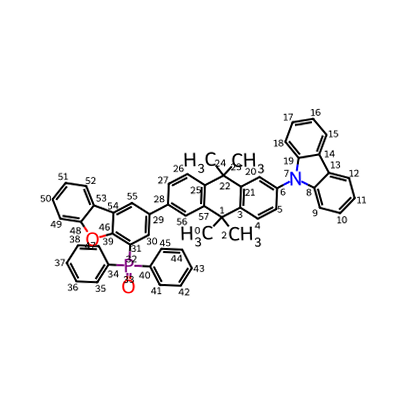 CC1(C)c2ccc(-n3c4ccccc4c4ccccc43)cc2C(C)(C)c2ccc(-c3cc(P(=O)(c4ccccc4)c4ccccc4)c4oc5ccccc5c4c3)cc21